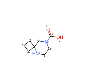 O=C(O)N1CCNC2(CCC2)C1